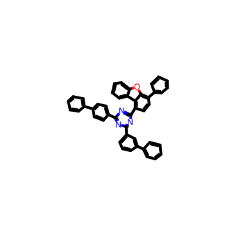 c1ccc(-c2ccc(-c3nc(-c4cccc(-c5ccccc5)c4)nc(-c4ccc(-c5ccccc5)c5oc6ccccc6c45)n3)cc2)cc1